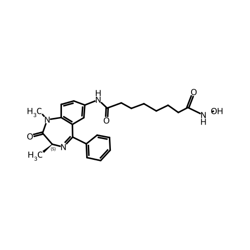 C[C@@H]1N=C(c2ccccc2)c2cc(NC(=O)CCCCCCC(=O)NO)ccc2N(C)C1=O